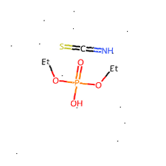 CCOP(=O)(O)OCC.N=C=S